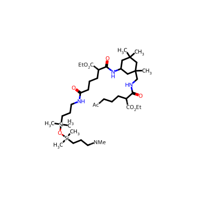 CCOC(=O)C(CCCC(C)=O)C(=O)NCC1(C)CC(NC(=O)C(CCCC(=O)NCCC[Si](C)(C)O[Si](C)(C)CCCNC)C(=O)OCC)CC(C)(C)C1